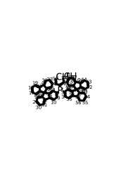 C=C/C=C(\C=C/C)P(c1ccc2c(c1)C1(c3ccccc3-c3ccccc31)c1ccccc1-2)c1ccc2c(c1)C1(c3ccccc3-c3ccccc31)c1ccccc1-2